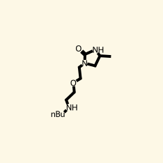 CCCCNCCOCCN1CC(C)NC1=O